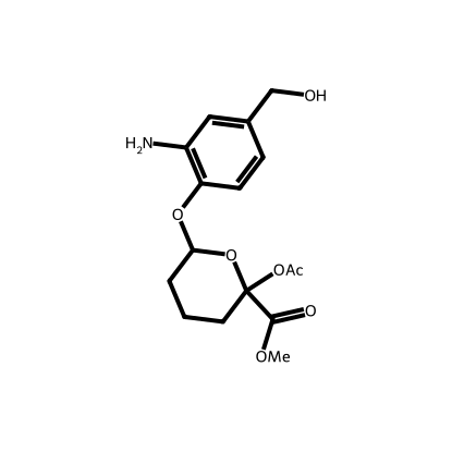 COC(=O)C1(OC(C)=O)CCCC(Oc2ccc(CO)cc2N)O1